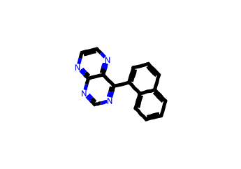 c1ccc2c(-c3ncnc4nccnc34)cccc2c1